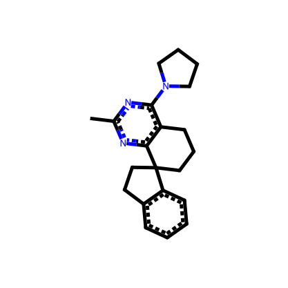 Cc1nc(N2CCCC2)c2c(n1)C1(CCC2)CCc2ccccc21